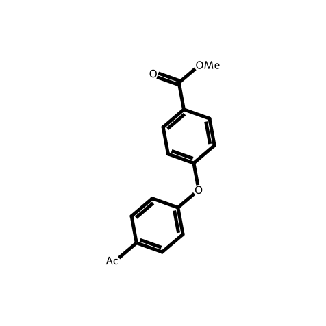 COC(=O)c1ccc(Oc2ccc(C(C)=O)cc2)cc1